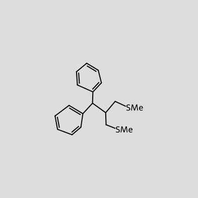 CSCC(CSC)C(c1ccccc1)c1ccccc1